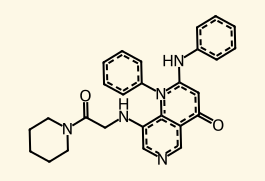 O=C(CNc1cncc2c(=O)cc(Nc3ccccc3)n(-c3ccccc3)c12)N1CCCCC1